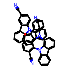 N#Cc1ccc2c(c1)c1ccccc1n2-c1c(C#N)cccc1-c1cccc(C#N)c1-n1c2ccccc2c2cccc(-n3c4ccccc4c4ccccc43)c21